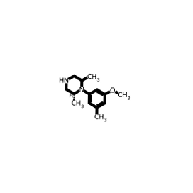 COc1cc(C)cc(N2C(C)CNC[C@H]2C)c1